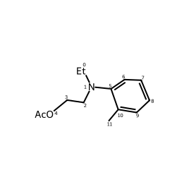 CCN(CCOC(C)=O)c1ccccc1C